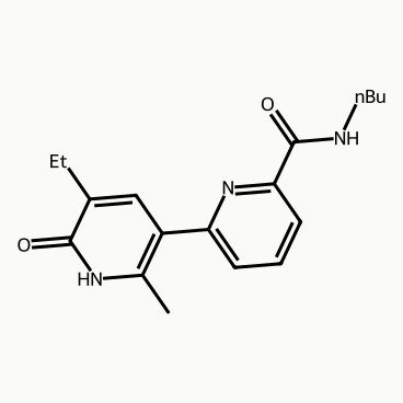 CCCCNC(=O)c1cccc(-c2cc(CC)c(=O)[nH]c2C)n1